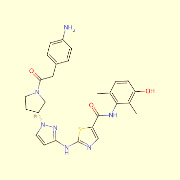 Cc1ccc(O)c(C)c1NC(=O)c1cnc(Nc2ccn([C@@H]3CCN(C(=O)Cc4ccc(N)cc4)C3)n2)s1